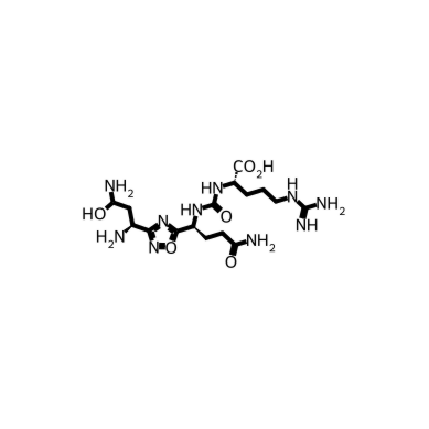 N=C(N)NCCC[C@H](NC(=O)N[C@@H](CCC(N)=O)c1nc([C@@H](N)CC(N)O)no1)C(=O)O